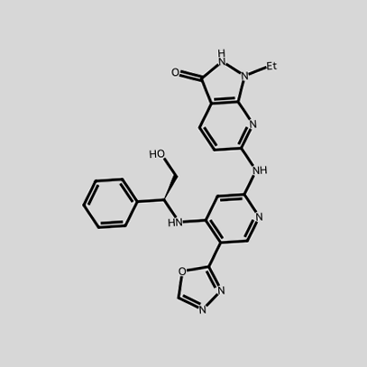 CCn1[nH]c(=O)c2ccc(Nc3cc(N[C@H](CO)c4ccccc4)c(-c4nnco4)cn3)nc21